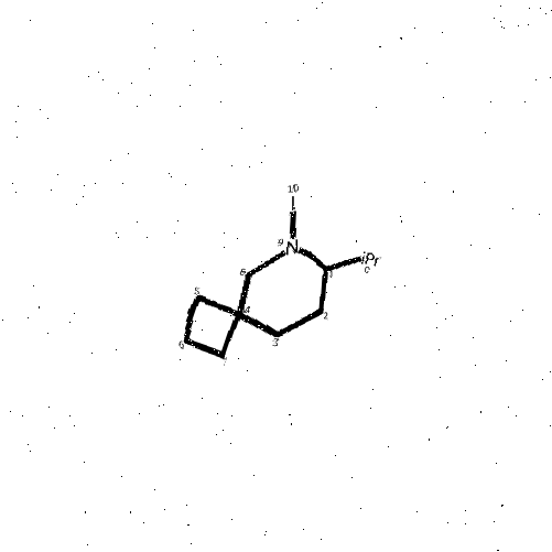 CC(C)C1CCC2(CCC2)CN1I